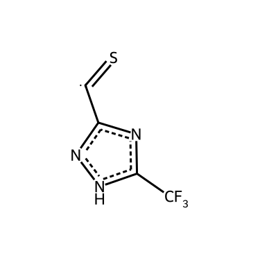 FC(F)(F)c1nc([C]=S)n[nH]1